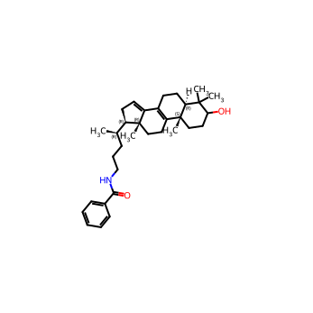 C[C@H](CCCNC(=O)c1ccccc1)[C@H]1CC=C2C3=C(CC[C@@]21C)[C@@]1(C)CCC(O)C(C)(C)[C@@H]1CC3